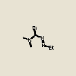 CCN=NC(CC)N(C)C